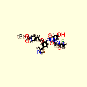 Cc1ncsc1-c1ccc(CNC(=O)[C@@H]2C[C@@H](O)CN2C(=O)[C@@H](NC(=O)C2(F)CC2)C(C)(C)C)c(OCCC2CCN(C(=O)OC(C)(C)C)CC2)c1